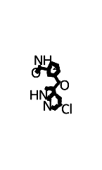 NC(=O)c1cccc(C(=O)c2c[nH]c3ncc(Cl)cc23)c1